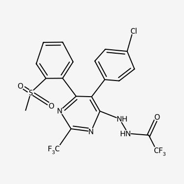 CS(=O)(=O)c1ccccc1-c1nc(C(F)(F)F)nc(NNC(=O)C(F)(F)F)c1-c1ccc(Cl)cc1